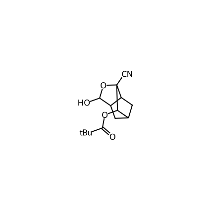 CC(C)(C)C(=O)OC1C2CC3C(O)OC1(C#N)C3C2